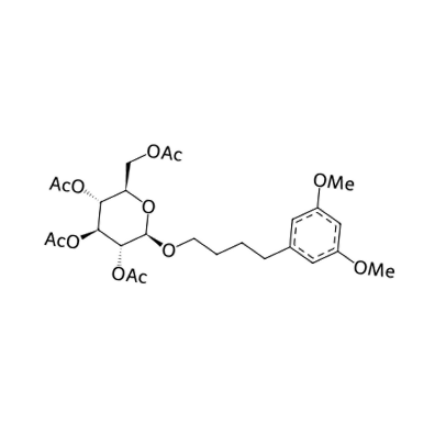 COc1cc(CCCCO[C@@H]2O[C@H](COC(C)=O)[C@@H](OC(C)=O)[C@H](OC(C)=O)[C@H]2OC(C)=O)cc(OC)c1